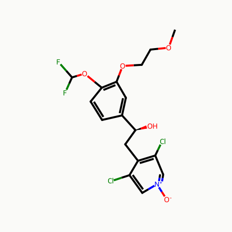 COCCOc1cc([C@@H](O)Cc2c(Cl)c[n+]([O-])cc2Cl)ccc1OC(F)F